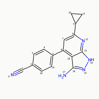 N#Cc1ccc(-c2cc(C3CC3)nc3[nH]nc(N)c23)cc1